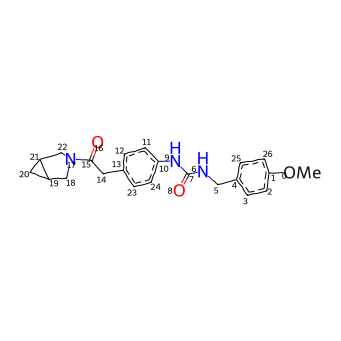 COc1ccc(CNC(=O)Nc2ccc(CC(=O)N3CC4CC4C3)cc2)cc1